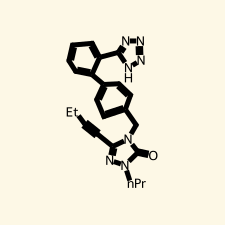 CCC#Cc1nn(CCC)c(=O)n1Cc1ccc(-c2ccccc2-c2nnn[nH]2)cc1